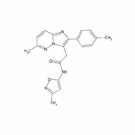 Cc1ccc(-c2nc3ccc(C)nn3c2CC(=O)Nc2cc(C)no2)cc1